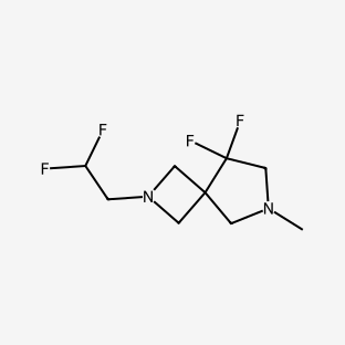 CN1CC(F)(F)C2(C1)CN(CC(F)F)C2